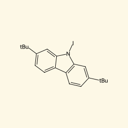 CC(C)(C)c1ccc2c3ccc(C(C)(C)C)cc3n(I)c2c1